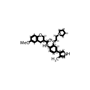 COc1ccc2c(c1)CC(C(=O)Nc1ccc(-c3c[nH]nc3C)cc1SCCN1CCCC1)CO2